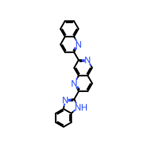 c1ccc2nc(-c3cc4nc(-c5nc6ccccc6[nH]5)ccc4cn3)ccc2c1